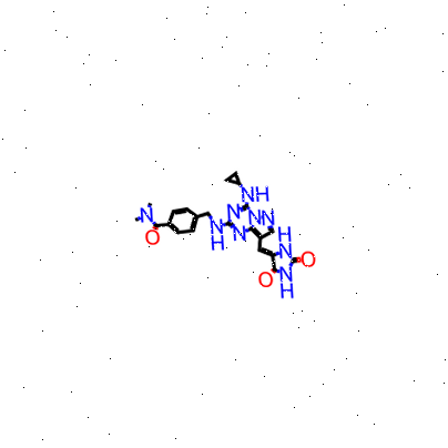 CN(C)C(=O)c1ccc(CNc2nc(NC3CC3)n3ncc(/C=C4\NC(=O)NC4=O)c3n2)cc1